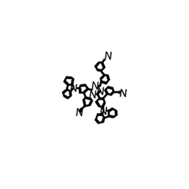 N#Cc1cccc(-c2cccc(-c3nc(-c4ccc(-n5c6ccccc6c6ccccc65)cc4-c4cccc(C#N)c4)nc(-c4ccc(-n5c6ccccc6c6ccccc65)cc4-c4cccc(C#N)c4)n3)c2)c1